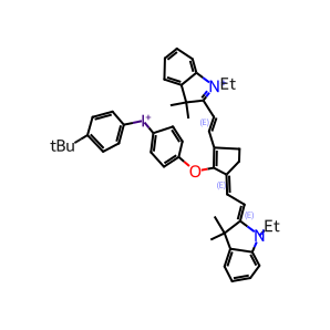 CCN1/C(=C/C=C2\CCC(/C=C/C3=[N+](CC)c4ccccc4C3(C)C)=C2Oc2ccc([I+]c3ccc(C(C)(C)C)cc3)cc2)C(C)(C)c2ccccc21